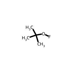 CC(C)(C)OF